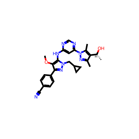 COc1c(-c2ccc(C#N)cc2)nn(CC2CC2)c1Nc1cc(-n2nc(C)c([C@@H](C)O)c2C)ncn1